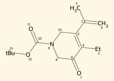 C=C(C)C1=C(CC)C(=O)CN(C(=O)OC(C)(C)C)C1